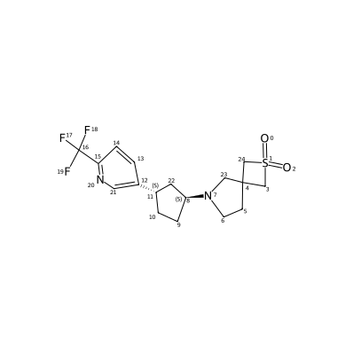 O=S1(=O)CC2(CCN([C@H]3CC[C@H](c4ccc(C(F)(F)F)nc4)C3)C2)C1